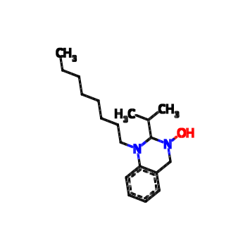 CCCCCCCCN1c2ccccc2CN(O)C1C(C)C